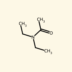 CCN(CC)C(C)=O